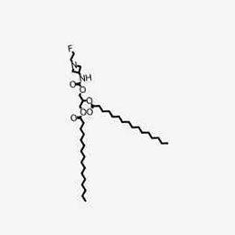 CCCCCCCCCCCCCCCC(=O)OCC(COC(=O)NC1CN(CCF)C1)OC(=O)CCCCCCCCCCCCCCC